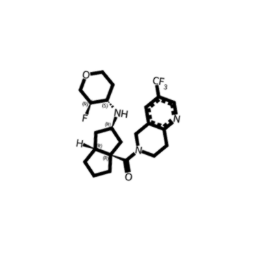 O=C(N1CCc2ncc(C(F)(F)F)cc2C1)[C@@]12CCC[C@@H]1C[C@@H](N[C@H]1CCOC[C@@H]1F)C2